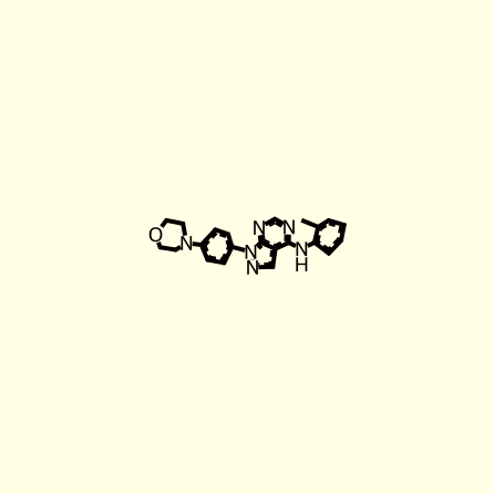 Cc1ccccc1Nc1ncnc2c1cnn2-c1ccc(N2CCOCC2)cc1